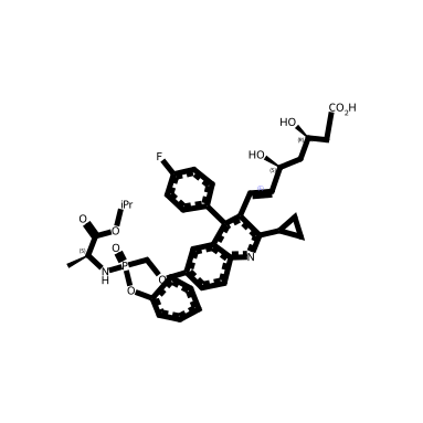 CC(C)OC(=O)[C@H](C)NP(=O)(COc1ccc2nc(C3CC3)c(/C=C/[C@@H](O)C[C@@H](O)CC(=O)O)c(-c3ccc(F)cc3)c2c1)Oc1ccccc1